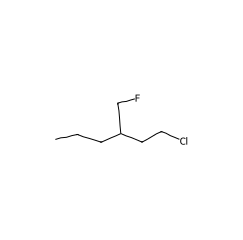 CCCC(CF)CCCl